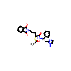 CC(=O)SC(CCCN1C(=O)c2ccccc2C1=O)C(=O)N[C@@H](Cc1ncc[nH]1)c1ccccc1